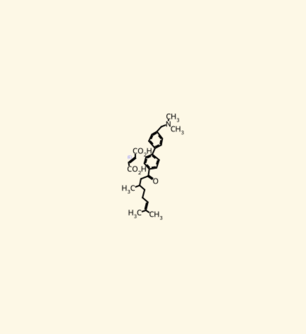 CC(C)=CCCC(C)CC(=O)c1ccc(-c2ccc(CN(C)C)cc2)cc1.O=C(O)/C=C/C(=O)O